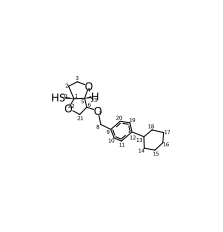 S[C@@]12CCO[C@@H]1C(OCc1ccc(C3CCCCC3)cc1)CO2